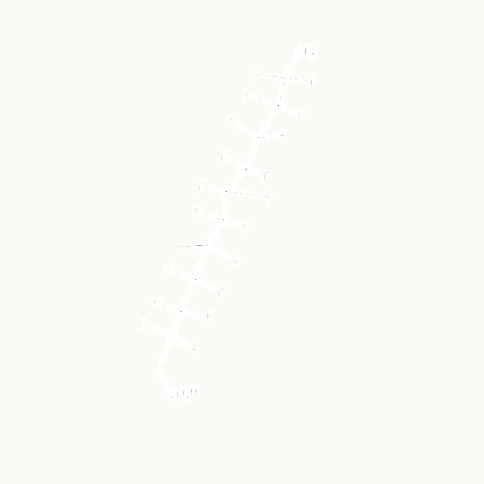 O=S(=O)(O)CC(F)(F)C(F)(F)C(F)(F)C(F)(F)C(F)(F)C(F)(F)C(F)(F)C(F)(F)C(F)(F)C(F)(F)C(F)(F)F